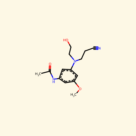 COc1cc(NC(C)=O)cc(N(CCO)CCC#N)c1